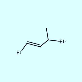 C[CH]C(C)C=CCC